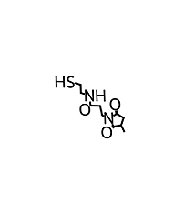 CC1CC(=O)N(CCC(=O)NCCS)C1=O